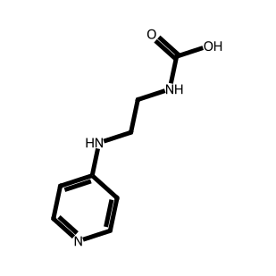 O=C(O)NCCNc1ccncc1